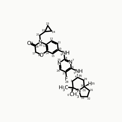 CC1(C)C[C@H](Nc2nc(Nc3ccc4c(c3)OCC(=O)N4CC3CC3)ncc2F)C[C@@H]2CCCN21